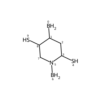 BC1CC(S)N(B)CC1S